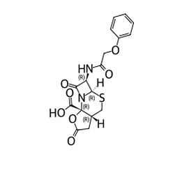 O=C(COc1ccccc1)N[C@@H]1C(=O)N2[C@@H]1SC[C@@H]1CC(=O)O[C@@]12C(=O)O